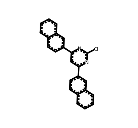 Clc1nc(-c2ccc3ccccc3c2)cc(-c2ccc3ccccc3c2)n1